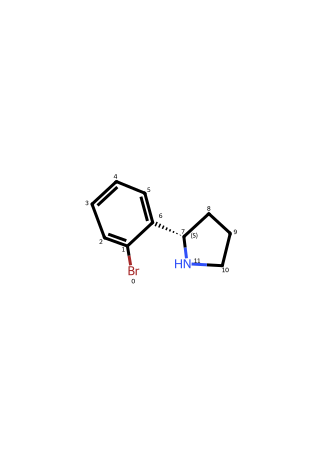 Brc1ccccc1[C@@H]1CCCN1